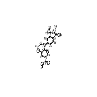 COC(=O)c1cnc2c(c1)OCCN2c1ccc2c(c1)C1(CC1)N(C)C2=O